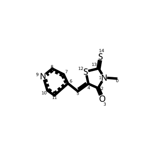 CN1C(=O)/C(=C/c2ccncc2)SC1=S